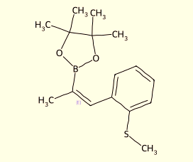 CSc1ccccc1/C=C(/C)B1OC(C)(C)C(C)(C)O1